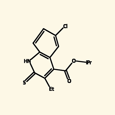 CCc1c(C(=O)OC(C)C)c2cc(Cl)ccc2[nH]c1=S